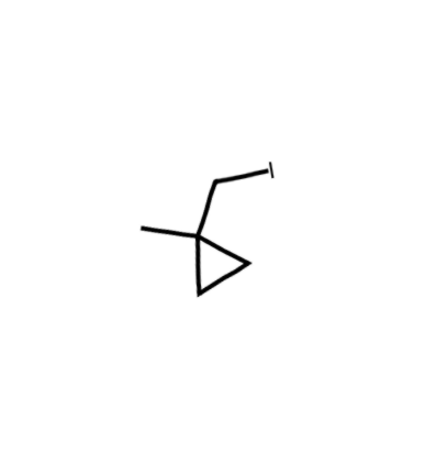 CC1(CI)CC1